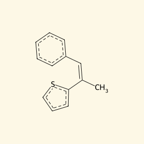 CC(=Cc1ccccc1)c1cccs1